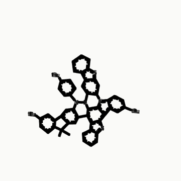 CC(C)(C)c1ccc(N2B3c4cc5c(cc4-n4c6ccc(C(C)(C)C)cc6c6c7sc8ccccc8c7c(c3c64)-c3cc4c(cc32)-c2cc(C(C)(C)C)ccc2C4(C)C)sc2ccccc25)cc1